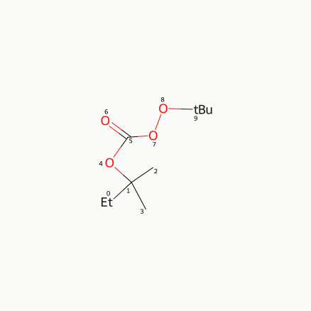 CCC(C)(C)OC(=O)OOC(C)(C)C